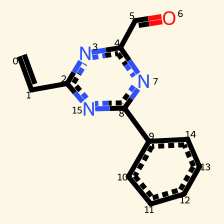 C=Cc1nc(C=O)nc(-c2ccccc2)n1